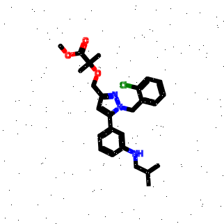 COC(=O)C(C)(C)OCc1cc(-c2cccc(NCC(C)C)c2)n(Cc2ccccc2Cl)n1